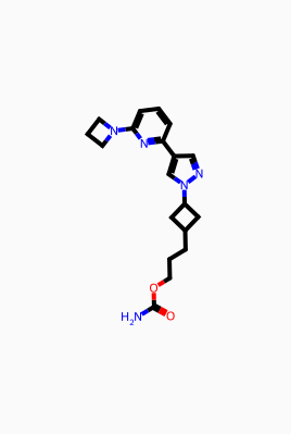 NC(=O)OCCCC1CC(n2cc(-c3cccc(N4CCC4)n3)cn2)C1